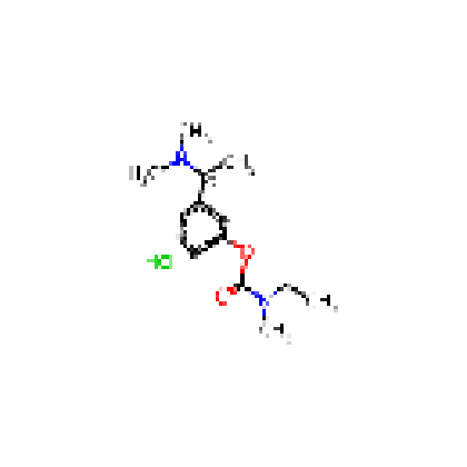 CCN(C)C(=O)Oc1cccc([C@H](C)N(C)C)c1.Cl